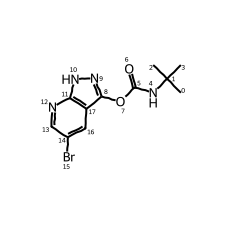 CC(C)(C)NC(=O)Oc1n[nH]c2ncc(Br)cc12